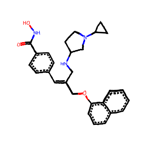 O=C(NO)c1ccc(C=C(CNC2CCN(C3CC3)C2)COc2cccc3ccccc23)cc1